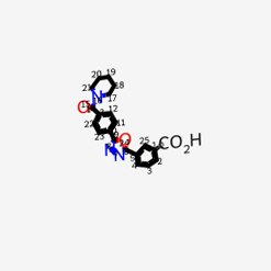 O=C(O)c1cccc(-c2nnc(-c3ccc(C(=O)N4CCCCC4)cc3)o2)c1